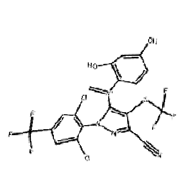 C=[N+](c1ccc(O)cc1O)c1c(SC(F)(F)F)c(C#N)nn1-c1c(Cl)cc(C(F)(F)F)cc1Cl